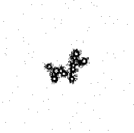 Cc1ccccc1N(c1ccc2c(c1)C(C)(C)c1cc(-c3ccccc3)c3oc4ccccc4c3c1-2)c1ccc2c(c1)C(C)(C)c1c3c(c4c(oc5ccccc54)c1-2)-c1ccccc1C3(C)C